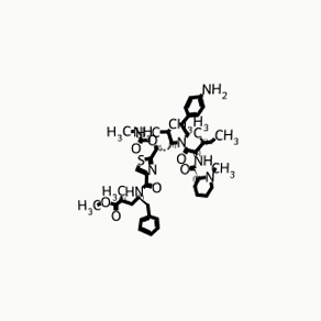 CC[C@H](C)[C@H](NC(=O)[C@H]1CCCCN1C)C(=O)N(CCc1ccc(N)cc1)[C@H](C[C@@H](OC(=O)NC)c1nc(C(=O)N[C@@H](Cc2ccccc2)C[C@H](C)C(=O)OC)cs1)C(C)C